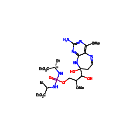 CCOC(=O)C(CC)NP(=O)(N[C@@H](CC)C(=O)OCC)OCC(OC)C(O)C1(O)CC=Nc2c(nc(N)nc2OC)N1